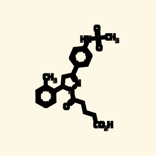 Cc1ccccc1C1CC(c2ccc(NS(C)(=O)=O)cc2)=NN1C(=O)CCCC(=O)O